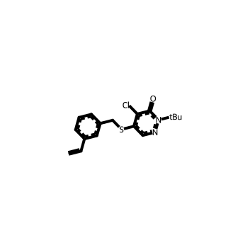 C=Cc1cccc(CSc2cnn(C(C)(C)C)c(=O)c2Cl)c1